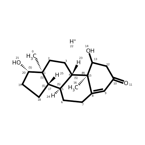 C[C@]12CC[C@H]3[C@@H](CCC4=CC(=O)CC(O)[C@@]43C)[C@@H]1CC[C@@H]2O.[H+]